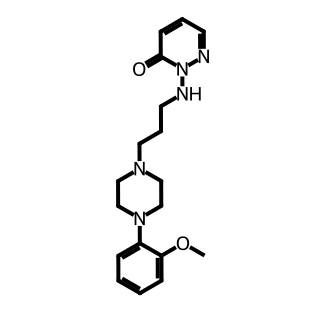 COc1ccccc1N1CCN(CCCNn2ncccc2=O)CC1